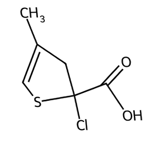 CC1=CSC(Cl)(C(=O)O)C1